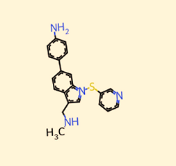 CNCc1cn(Sc2cccnc2)c2cc(-c3ccc(N)cc3)ccc12